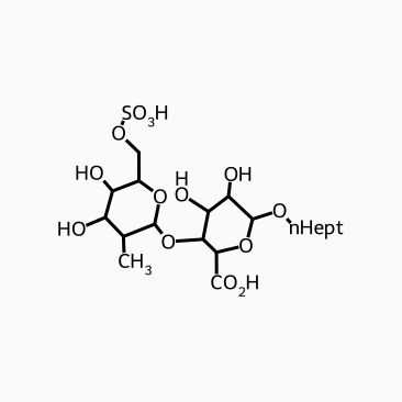 CCCCCCCOC1OC(C(=O)O)C(OC2OC(COS(=O)(=O)O)C(O)C(O)C2C)C(O)C1O